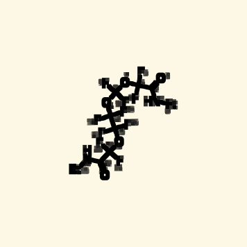 CCNC(=O)C(F)(F)OC(F)(F)OC(F)(F)C(F)(F)OC(F)(F)C(=O)NCC